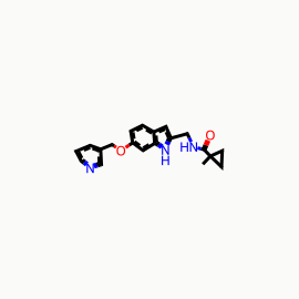 CC1(C(=O)NCc2cc3ccc(OCc4cccnc4)cc3[nH]2)CC1